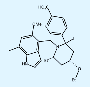 CCO[C@@H]1C[C@H](CC)N(Cc2c(OC)cc(C)c3[nH]ccc23)C(I)(c2ccc(C(=O)O)nc2)C1